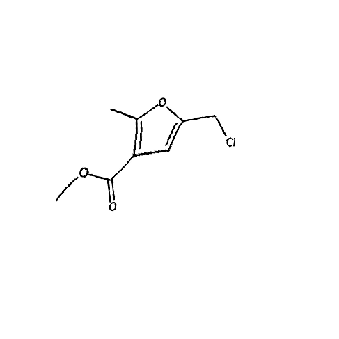 COC(=O)c1cc(CCl)oc1C